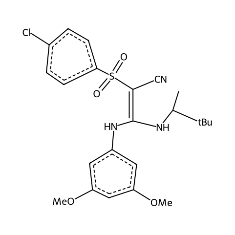 COc1cc(NC(NC(C)C(C)(C)C)=C(C#N)S(=O)(=O)c2ccc(Cl)cc2)cc(OC)c1